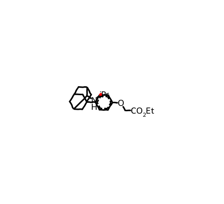 CCOC(=O)COc1ccc(C23CC4CC(C2)C(NC(C)C)C(C4)C3)cc1